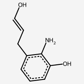 Nc1c(O)cccc1CC=CO